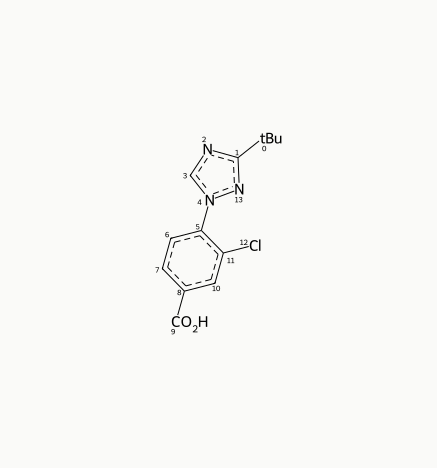 CC(C)(C)c1ncn(-c2ccc(C(=O)O)cc2Cl)n1